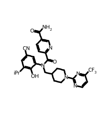 CC(C)c1cc(C#N)cc(N(CC2CCN(c3nccc(C(F)(F)F)n3)CC2)C(=O)c2ccc(C(N)=O)cn2)c1O